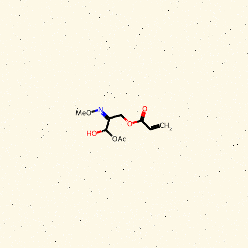 C=CC(=O)OCC(=NOC)C(O)OC(C)=O